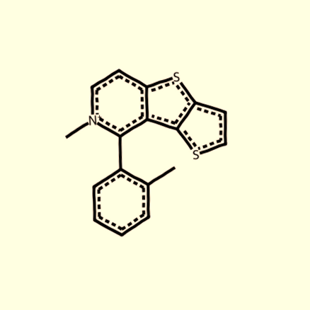 Cc1ccccc1-c1c2c(cc[n+]1C)sc1ccsc12